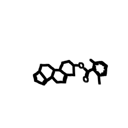 Cc1cccc(C)c1C(=O)OC1CCC2C(=CCC3C4=CC=CC4CCC23)C1